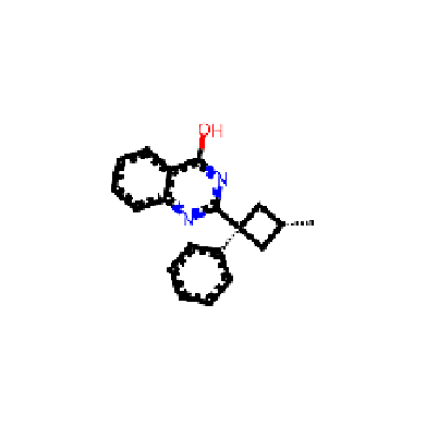 C[C@H]1C[C@](c2ccccc2)(c2nc(O)c3ccccc3n2)C1